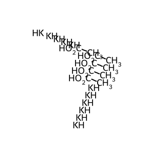 CC(=O)O.CC(=O)O.CC(=O)O.CC(=O)O.CC(=O)O.[KH].[KH].[KH].[KH].[KH].[KH].[KH].[KH].[KH].[KH].[KH]